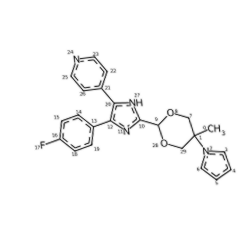 CC1(n2cccc2)COC(c2nc(-c3ccc(F)cc3)c(-c3ccncc3)[nH]2)OC1